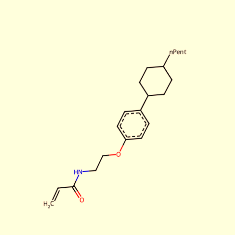 C=CC(=O)NCCOc1ccc(C2CCC(CCCCC)CC2)cc1